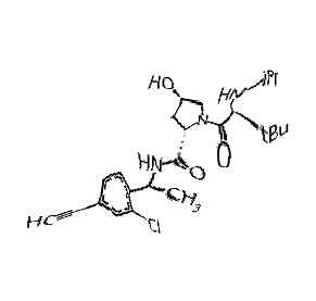 C#Cc1ccc([C@H](C)NC(=O)[C@@H]2C[C@@H](O)CN2C(=O)[C@@H](NC(C)C)C(C)(C)C)c(Cl)c1